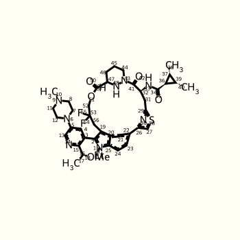 CCn1c(-c2cc(N3CCN(C)CC3)cnc2[C@H](C)OC)c2c3cc(ccc31)-c1csc(n1)C[C@H](NC(=O)[C@H]1[C@H](C)[C@@H]1C)C(=O)N1CCC[C@H](N1)C(=O)OCC(F)(F)C2